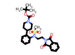 CC(C)(C)OC(=O)N1CCC(c2ccccc2N(CCN2C(=O)c3ccccc3C2=O)S(C)(=O)=O)CC1